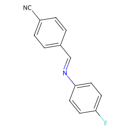 N#Cc1ccc(/C=N/c2ccc(F)cc2)cc1